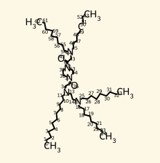 CCCCCCCCCCCCN(CCN(CCCCCCCCC)CCCCCCCCC)CC(=O)N1CCN(C(=O)CN(CCCCCCCCC)CCCCCCCCC)CC1